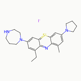 CCc1cc(N2CCCNCC2)cc2[s+]c3cc(N4CCCC4)cc(C)c3nc12.[I-]